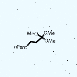 [CH2]CCCCCCC(OC)(OC)OC